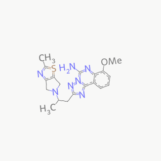 COc1cccc2c1nc(N)n1nc(CC(C)N3Cc4nc(C)sc4C3)nc21